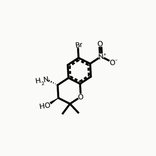 CC1(C)Oc2cc([N+](=O)[O-])c(Br)cc2[C@@H](N)[C@@H]1O